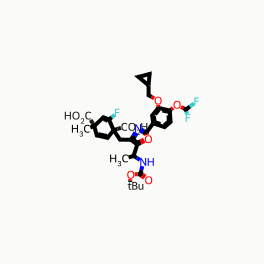 CC(NC(=O)OC(C)(C)C)c1oc(-c2ccc(OC(F)F)c(OCC3CC3)c2)nc1CC1(C(=O)O)C=CC(C)(C(=O)O)C=C1F